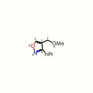 [CH2]OCc1conc1CCC